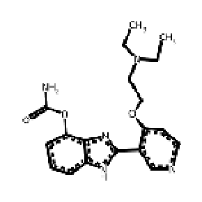 CCN(CC)CCOc1ccncc1-c1nc2c(OC(N)=O)cccc2[nH]1